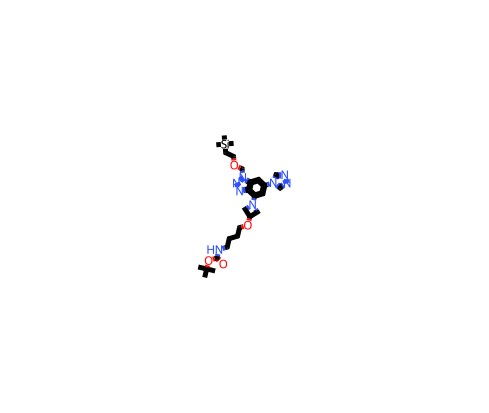 CC(C)(C)OC(=O)NCCCCOC1CN(c2cc(-n3cnnc3)cc3c2nnn3COCC[Si](C)(C)C)C1